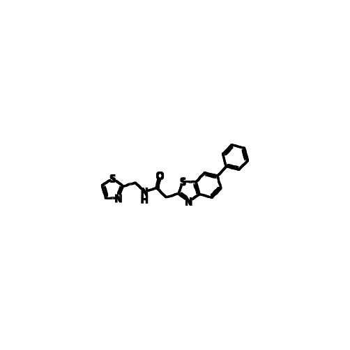 O=C(Cc1nc2ccc(-c3ccccc3)cc2s1)NCc1nccs1